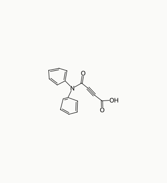 O=C(O)C#CC(=O)N(c1ccccc1)c1ccccc1